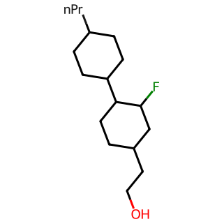 CCCC1CCC(C2CCC(CCO)CC2F)CC1